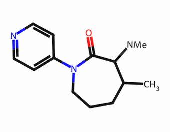 CNC1C(=O)N(c2ccncc2)CCCC1C